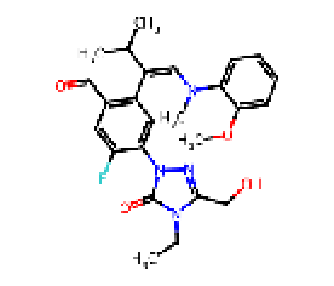 CCn1c(CO)nn(-c2cc(/C(=C\N(C)c3ccccc3OC)C(C)C)c(C=O)cc2F)c1=O